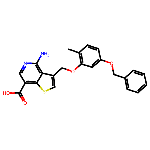 Cc1ccc(OCc2ccccc2)cc1OCc1csc2c(C(=O)O)cnc(N)c12